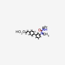 CCCNC(=O)N(C)c1cccc(-c2ccc(/C=C/C(=O)O)cc2)c1